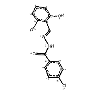 O=C(NN=Cc1c(O)cccc1Cl)c1ccc(Cl)cc1